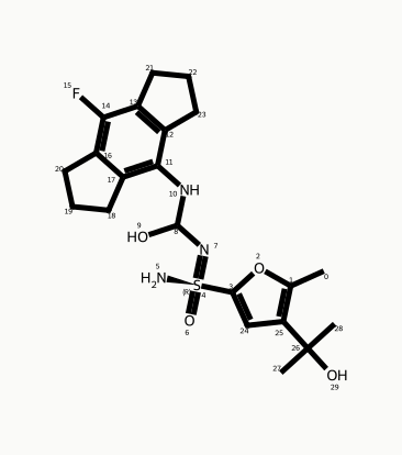 Cc1oc([S@](N)(=O)=NC(O)Nc2c3c(c(F)c4c2CCC4)CCC3)cc1C(C)(C)O